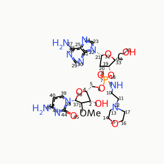 COC1[C@@H](O)[C@@H](COP(=O)(NCCN2CCOCC2)O[C@@H]2C[C@H](n3cnc4c(N)ncnc43)O[C@@H]2CO)O[C@H]1n1ccc(N)nc1=O